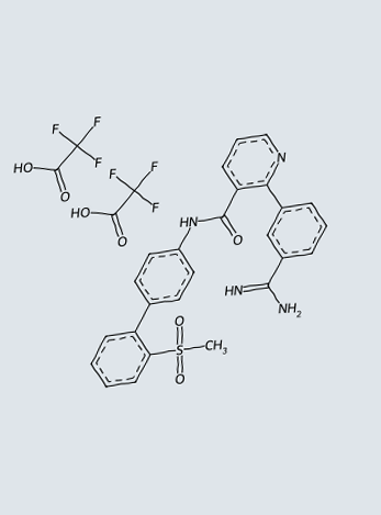 CS(=O)(=O)c1ccccc1-c1ccc(NC(=O)c2cccnc2-c2cccc(C(=N)N)c2)cc1.O=C(O)C(F)(F)F.O=C(O)C(F)(F)F